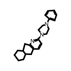 c1ccc(N2CCN(c3ccc4c(n3)CC3CCCCC3C4)CC2)cc1